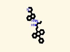 C=C/C(=N/Nc1ccc(-c2cccnc2)c2ccccc12)C(=N)/C=C/C1=c2ccccc2=C(c2ccccc2)C2C=CC=CC12